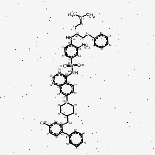 CN(C)CC[C@H](CSc1ccccc1)Nc1ccc(S(=O)(=O)Nc2ncnc3cc(N4CCC(Cc5cc(Cl)ccc5-c5ccccc5)CC4)ccc23)cc1[N+](=O)[O-]